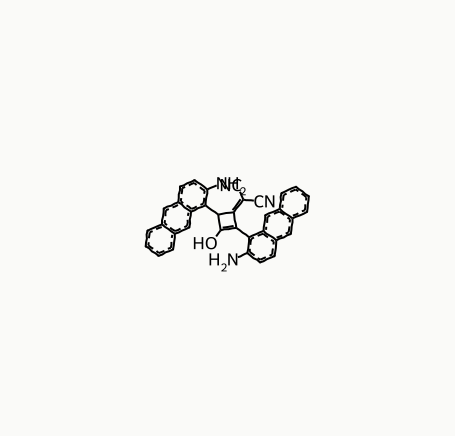 N#CC(C#N)=C1C(c2c(N)ccc3cc4ccccc4cc23)=C(O)C1c1c(N)ccc2cc3ccccc3cc12